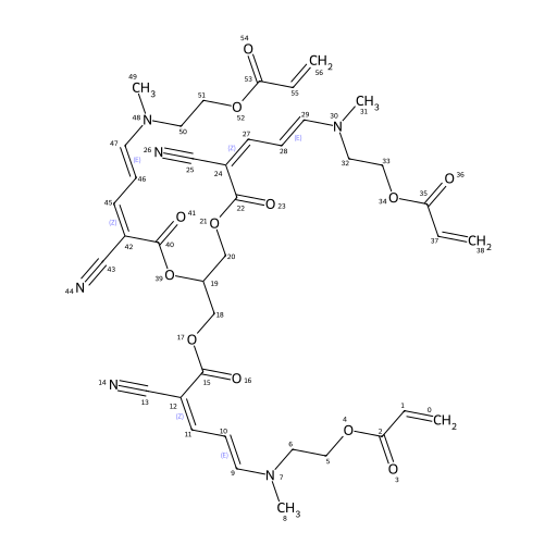 C=CC(=O)OCCN(C)/C=C/C=C(/C#N)C(=O)OCC(COC(=O)/C(C#N)=C\C=C\N(C)CCOC(=O)C=C)OC(=O)/C(C#N)=C\C=C\N(C)CCOC(=O)C=C